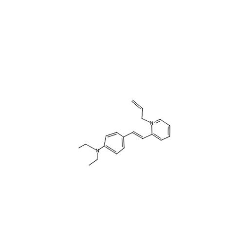 C=CC[n+]1ccccc1/C=C/c1ccc(N(CC)CC)cc1